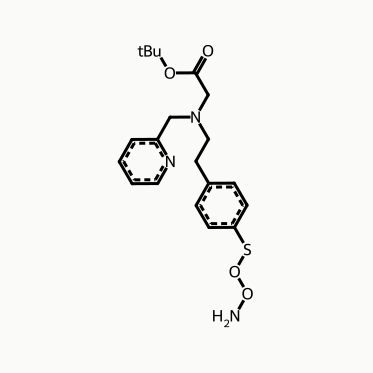 CC(C)(C)OC(=O)CN(CCc1ccc(SOON)cc1)Cc1ccccn1